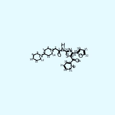 O=C(CN1CCC(N2CCCCC2)CC1)Nc1nc(-c2ccco2)c(C(=O)c2ccccn2)s1